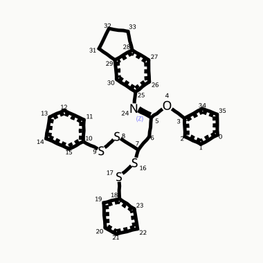 c1ccc(O/C(CC(SSc2ccccc2)SSc2ccccc2)=N\c2ccc3c(c2)CCC3)cc1